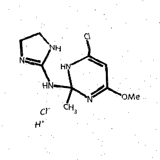 COC1=NC(C)(NC2=NCCN2)NC(Cl)=C1.[Cl-].[H+]